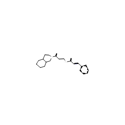 O=C(/C=C/c1ccccc1)NCCC(=O)N1CCC2CCCCC2C1